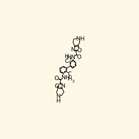 Cc1c(NC(=O)c2nc3c(o2)CNCC3)cccc1-c1cccc(NC(=O)c2nc3c(o2)CNCC3)c1C